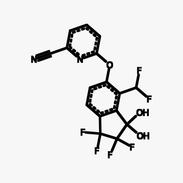 N#Cc1cccc(Oc2ccc3c(c2C(F)F)C(O)(O)C(F)(F)C3(F)F)n1